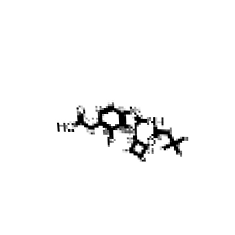 CC(C)(C)CC(=O)Nc1nc2ccc(CC(=O)O)c(F)c2n1C1CCC1